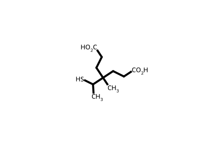 CC(S)C(C)(CCC(=O)O)CCC(=O)O